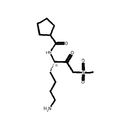 CS(=O)(=O)CC(=O)[C@H](CCCCN)NC(=O)C1CCCC1